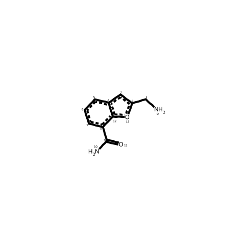 NCc1cc2cccc(C(N)=O)c2o1